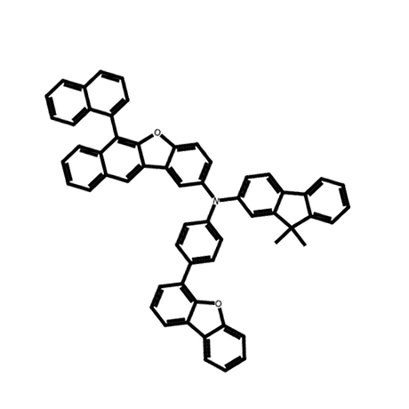 CC1(C)c2ccccc2-c2ccc(N(c3ccc(-c4cccc5c4oc4ccccc45)cc3)c3ccc4oc5c(-c6cccc7ccccc67)c6ccccc6cc5c4c3)cc21